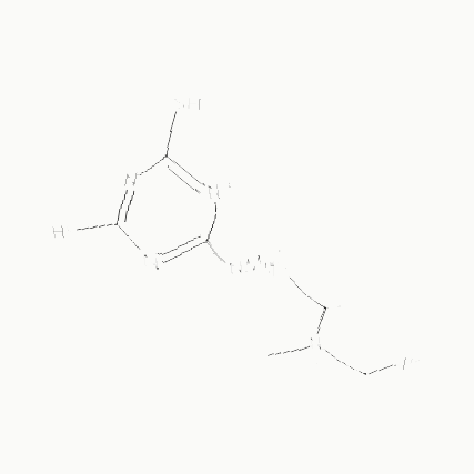 CC(C)CN(C)CC(C)C.CNc1nc(S)nc(S)n1